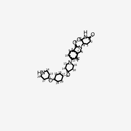 O=C1CCC(N2Cc3c(ccc(N4CCC(O[C@H]5CC[C@H](OC6CCNCC6)CC5)CC4)c3F)C2=O)C(=O)N1